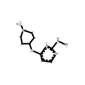 CC(C)Nc1nccc(OC2CCN(C)CC2)n1